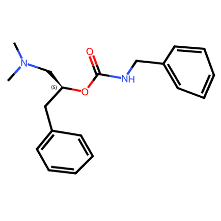 CN(C)C[C@H](Cc1ccccc1)OC(=O)NCc1ccccc1